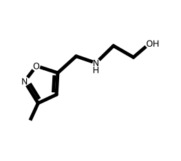 Cc1cc(CNCCO)on1